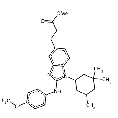 COC(=O)CCc1ccc2c(c1)nc(Nc1ccc(OC(F)(F)F)cc1)n2C1CC(C)CC(C)(C)C1